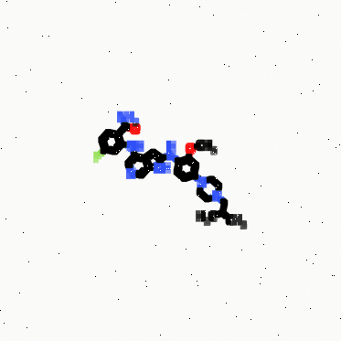 COc1cc(N2CCN(CC(C)C)CC2)ccc1Nc1cc2c(Nc3cc(F)ccc3C(N)=O)cncc2[nH]1